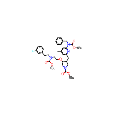 Cc1cc(CC2CN(C(=O)OC(C)(C)C)CC2OCCN(CCc2cccc(F)c2)C(=O)OC(C)(C)C)nc(N(Cc2ccccc2)C(=O)OC(C)(C)C)c1